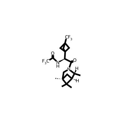 C[C@@H]1[C@@H]2C[C@](C)(CN1C(=O)[C@@H](NC(=O)C(F)(F)F)C13CC(C(F)(F)F)(C1)C3)C2(C)C